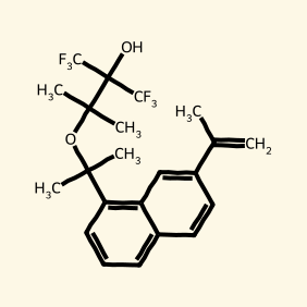 C=C(C)c1ccc2cccc(C(C)(C)OC(C)(C)C(O)(C(F)(F)F)C(F)(F)F)c2c1